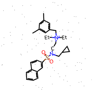 CC[N+](CC)(CCN(CC1CC1)S(=O)(=O)c1ccc2ccccc2c1)Cc1cc(C)cc(C)c1